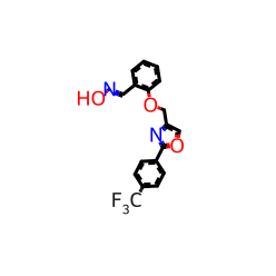 O/N=C/c1ccccc1OCc1coc(-c2ccc(C(F)(F)F)cc2)n1